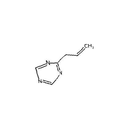 C=CCc1ncncn1